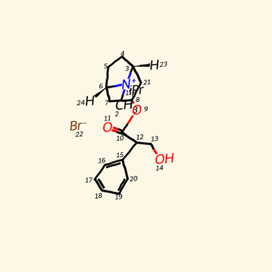 CC(C)[N@+]1(C)[C@@H]2CC[C@H]1C[C@@H](OC(=O)C(CO)c1ccccc1)C2.[Br-]